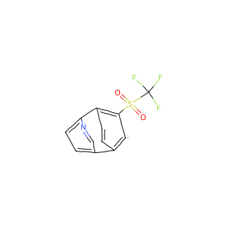 O=S(=O)(c1[c]c2ccc1-c1ccc-2cn1)C(F)(F)F